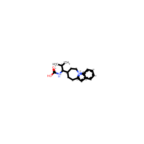 CC(C)C(NC(=O)O)C1CCc2cc3ccccc3n2CC1